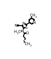 CSCCC(=O)N(C)c1sc(-c2cncc(C)c2)nc1C#N